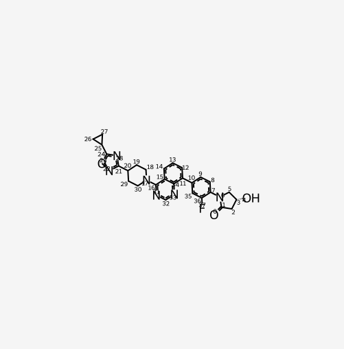 O=C1C[C@@H](O)CN1c1ccc(-c2cccc3c(N4CCC(c5noc(C6CC6)n5)CC4)ncnc23)cc1F